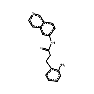 Nc1ccccc1CCC(=O)Nc1ccc2cnccc2c1